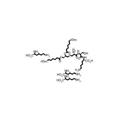 CCCCCCCCCCCCCCCC(=O)OC[C@H](CSC[C@H](N)C(=O)N[C@@H](CO)C(=O)N[C@@H](CCCCN)C(=O)O)OC(=O)CCCCCCCCCCCCCCC.NCCCC[C@H](N)C(=O)O.NCCCC[C@H](N)C(=O)O.NCCCC[C@H](N)C(=O)O